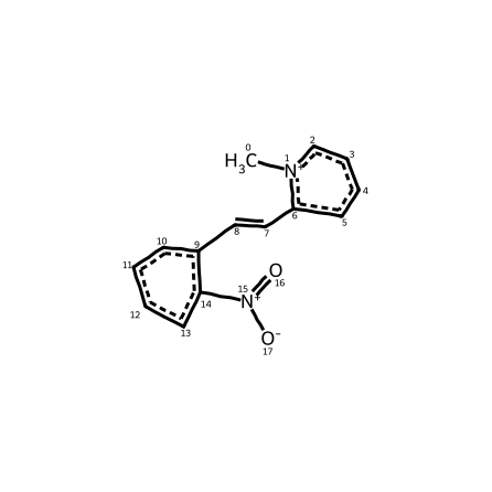 C[n+]1ccccc1C=Cc1ccccc1[N+](=O)[O-]